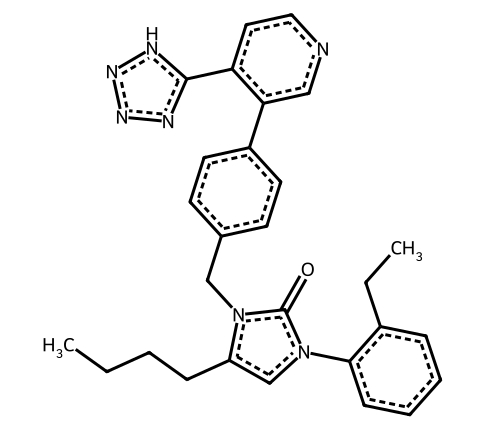 CCCCc1cn(-c2ccccc2CC)c(=O)n1Cc1ccc(-c2cnccc2-c2nnn[nH]2)cc1